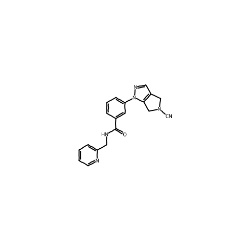 N#CN1Cc2cnn(-c3cccc(C(=O)NCc4ccccn4)c3)c2C1